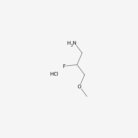 COCC(F)CN.Cl